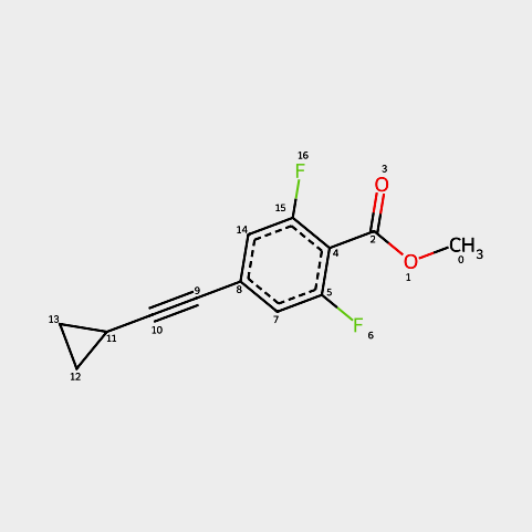 COC(=O)c1c(F)cc(C#CC2CC2)cc1F